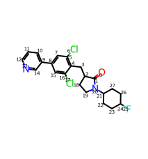 O=C1C(Cc2c(Cl)cc(-c3cccnc3)cc2Cl)CCN1C1CCC(F)CC1